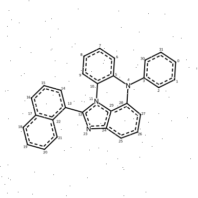 c1ccc(N2c3ccccc3-n3c(-c4cccc5ccccc45)nc4cccc2c43)cc1